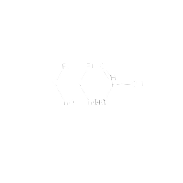 CCCCCCCCSCC.CCCCCCCCSCC.O=[PH](O)O